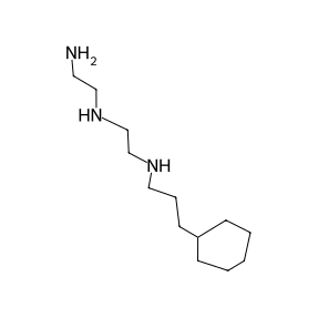 NCCNCCNCCCC1CCCCC1